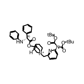 CC(C)(C)OC(=O)N(C(=O)OC(C)(C)C)c1cccc(C[N+]23CCC(CC2)[C@@H](OC(=O)[C@H](Nc2ccccc2)c2ccccc2)C3)n1